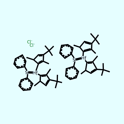 CC1=[C]([Hf]([C]2=C(C)C(C(C)(C)C)=CC2C)=[Si](c2ccccc2)c2ccccc2)C(C)C=C1C(C)(C)C.CC1=[C]([Hf]([C]2=C(C)C(C(C)(C)C)=CC2C)=[Si](c2ccccc2)c2ccccc2)C(C)C=C1C(C)(C)C.[Cl-].[Cl-]